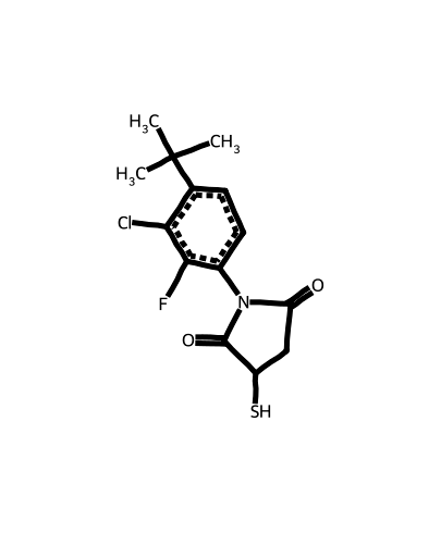 CC(C)(C)c1ccc(N2C(=O)CC(S)C2=O)c(F)c1Cl